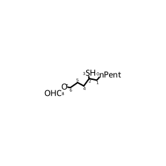 CCCCCCC(S)CCCOC=O